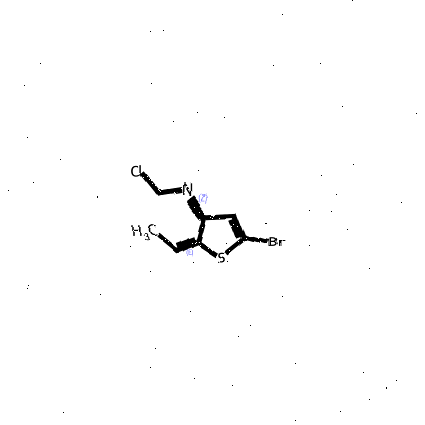 C/C=C1/SC(Br)=C/C1=N/CCl